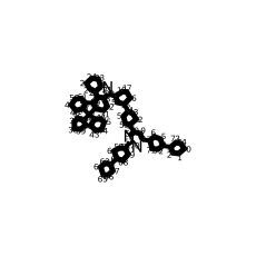 c1ccc(-c2ccc(-c3cc(-c4ccc(-c5cccc(-c6nc7ccccc7c7c8c(ccc67)C(c6ccccc6)(c6ccccc6)c6ccccc6-8)c5)cc4)nc(-c4ccc(-c5ccccc5)cc4)n3)cc2)cc1